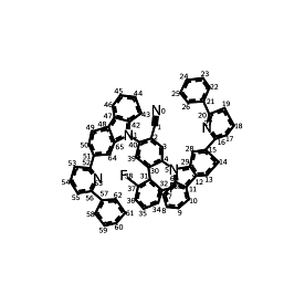 N#Cc1cc(-n2c3ccccc3c3ccc(-c4cccc(-c5ccccc5)n4)cc32)c(-c2c(F)cccc2F)cc1-n1c2ccccc2c2ccc(-c3cccc(-c4ccccc4)n3)cc21